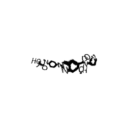 COc1cc2nn([C@H]3CC[C@H](N(C)C(=O)[C@@H](C)O)CC3)cc2cc1C(=O)Nc1cccn(C)c1=O